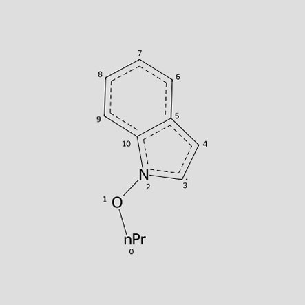 CCCOn1[c]cc2ccccc21